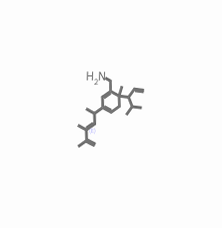 C=CC(C(C)C)C1(C)CC=C(C(C)/C=C(\C)C(=C)C)C=C1CN